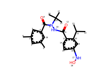 Cc1cc(C)cc(C(=O)N(NC(=O)c2ccc(NO)cc2C(C)C)C(C)(C)C)c1